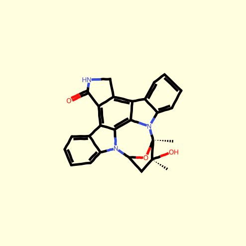 C[C@]1(O)CC2O[C@@]1(C)n1c3ccccc3c3c4c(c5c6ccccc6n2c5c31)C(=O)NC4